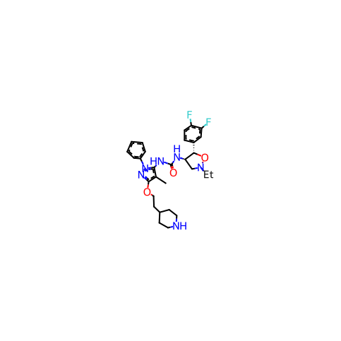 CCN1C[C@@H](NC(=O)Nc2c(C)c(OCCC3CCNCC3)nn2-c2ccccc2)[C@H](c2ccc(F)c(F)c2)O1